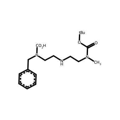 CN(CCNCCN(Cc1ccccc1)C(=O)O)C(=O)OC(C)(C)C